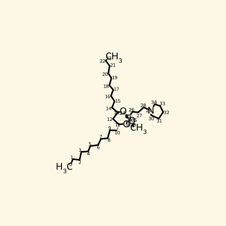 CCCCCCCCCCC[C@@H]1CC(CCCCCCCCCC)O[Si](CCCN2CCCCC2)(OC)O1